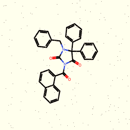 O=C(c1cccc2ccccc12)N1C(=O)N(Cc2ccccc2)C(c2ccccc2)(c2ccccc2)C1=O